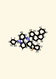 c1ccc(-n2c3ccccc3c3c(N(c4ccc5sc6ccccc6c5c4)c4cccc5c4ccc4ccc6ccccc6c45)cccc32)cc1